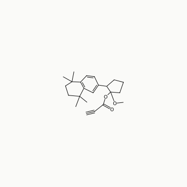 C#CC(=O)OC1(OC)CCCC1c1ccc2c(c1)C(C)(C)CCC2(C)C